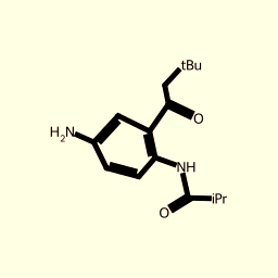 CC(C)C(=O)Nc1ccc(N)cc1C(=O)CC(C)(C)C